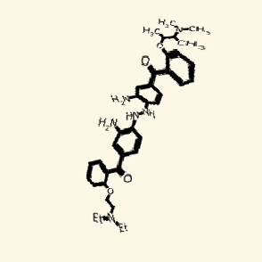 CCN(CC)CCOc1ccccc1C(=O)c1ccc(NNc2ccc(C(=O)c3ccccc3OC(C)C(C)N(C)C)cc2N)c(N)c1